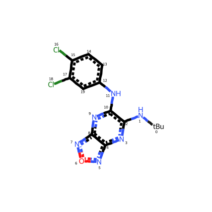 CC(C)(C)Nc1nc2nonc2nc1Nc1ccc(Cl)c(Cl)c1